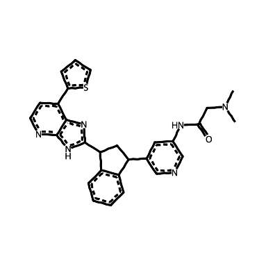 CN(C)CC(=O)Nc1cncc(C2CC(c3nc4c(-c5cccs5)ccnc4[nH]3)c3ccccc32)c1